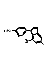 CCCCc1ccc(C2C=Cc3cc(C)cc(Br)c32)cc1